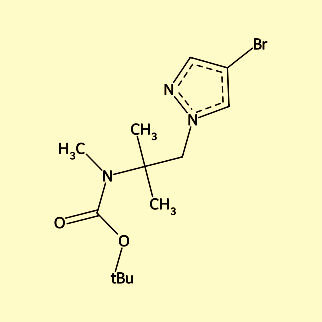 CN(C(=O)OC(C)(C)C)C(C)(C)Cn1cc(Br)cn1